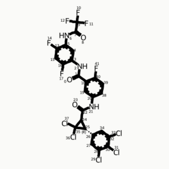 O=C(Nc1cc(NC(=O)C(F)(F)F)c(F)cc1F)c1cc(NC(=O)C2[C@H](c3cc(Cl)c(Cl)c(Cl)c3)C2(Cl)Cl)ccc1F